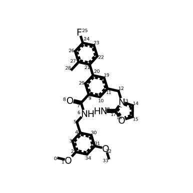 COc1cc(CNC(=O)c2cc(Cn3ccoc3=N)cc(-c3ccc(F)cc3C)c2)cc(OC)c1